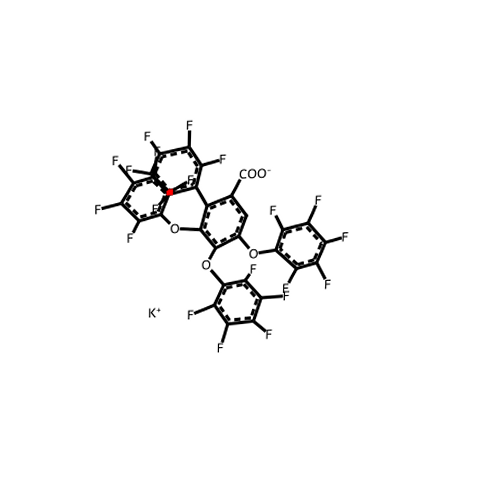 O=C([O-])c1cc(Oc2c(F)c(F)c(F)c(F)c2F)c(Oc2c(F)c(F)c(F)c(F)c2F)c(Oc2c(F)c(F)c(F)c(F)c2F)c1-c1c(F)c(F)c(F)c(F)c1F.[K+]